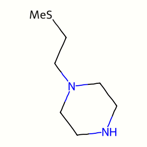 CSCCN1CCNCC1